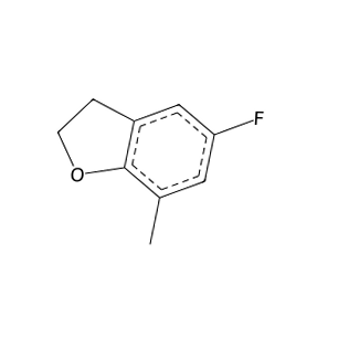 Cc1cc(F)cc2c1OCC2